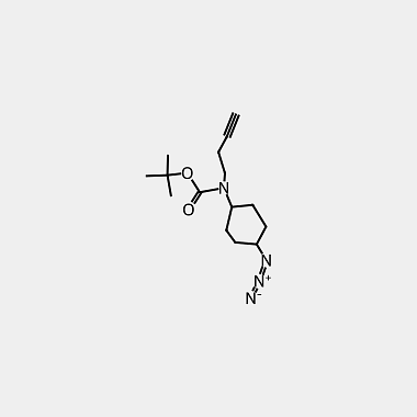 C#CCCN(C(=O)OC(C)(C)C)C1CCC(N=[N+]=[N-])CC1